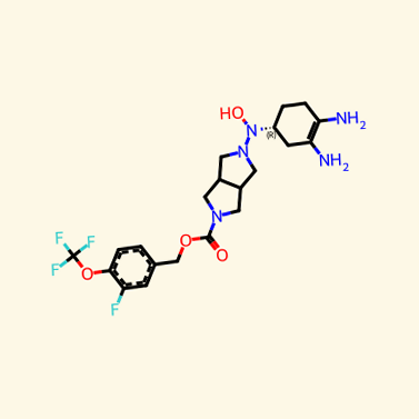 NC1=C(N)C[C@H](N(O)N2CC3CN(C(=O)OCc4ccc(OC(F)(F)F)c(F)c4)CC3C2)CC1